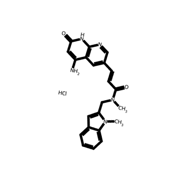 CN(Cc1cc2ccccc2n1C)C(=O)C=Cc1cnc2[nH]c(=O)cc(N)c2c1.Cl